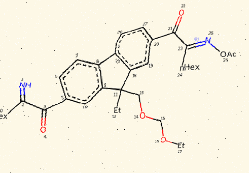 CCCCCCC(=N)C(=O)c1ccc2c(c1)C(CC)(COCOCC)c1cc(C(=O)/C(CCCCCC)=N/OC(C)=O)ccc1-2